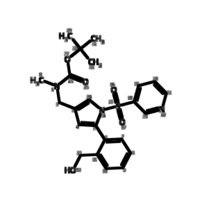 CN(Cc1cc(-c2ccccc2CO)n(S(=O)(=O)c2cccnc2)c1)C(=O)OC(C)(C)C